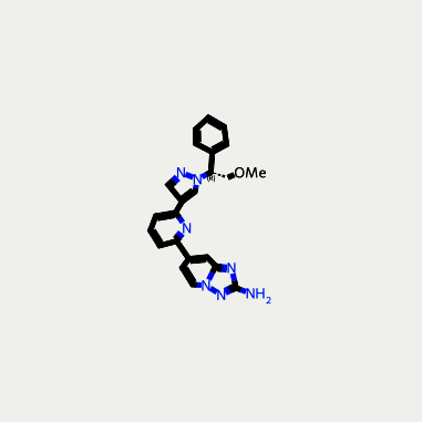 COC[C@@H](c1ccccc1)n1cc(-c2cccc(-c3ccn4nc(N)nc4c3)n2)cn1